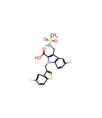 CS(=O)(=O)NCc1c(C(=O)O)n(Cc2csc3ccc(F)cc23)c2ccc(F)cc12